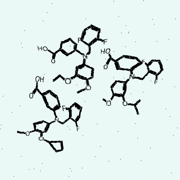 CCOc1cc(N(Cc2c(F)cccc2F)c2cccc(C(=O)O)c2)ccc1OC.COc1ccc(N(Cc2c(F)cccc2F)c2cccc(C(=O)O)c2)cc1OC(C)C.COc1ccc(N(Cc2c(F)cccc2F)c2cccc(C(=O)O)c2)cc1OC1CCC1